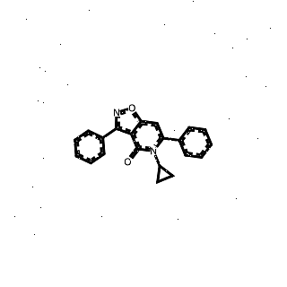 O=c1c2c(-c3ccccc3)noc2cc(-c2ccccc2)n1C1CC1